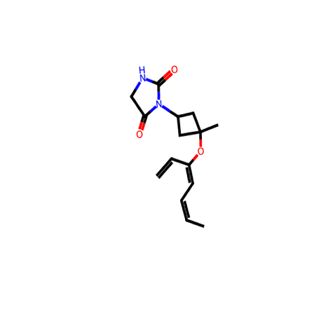 C=C/C(=C\C=C/C)OC1(C)CC(N2C(=O)CNC2=O)C1